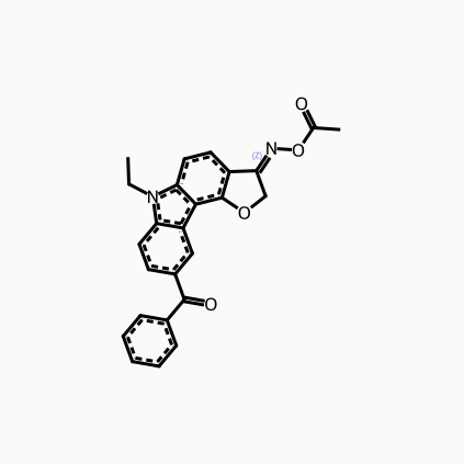 CCn1c2ccc(C(=O)c3ccccc3)cc2c2c3c(ccc21)/C(=N/OC(C)=O)CO3